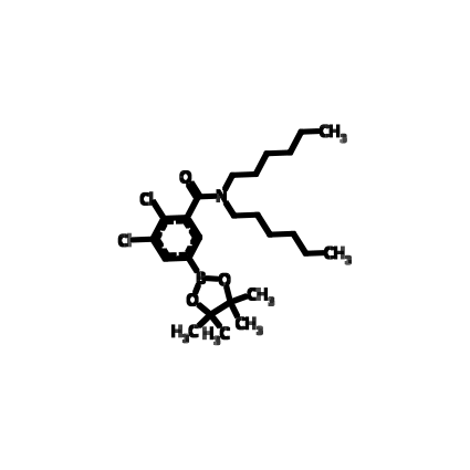 CCCCCCN(CCCCCC)C(=O)c1cc(B2OC(C)(C)C(C)(C)O2)cc(Cl)c1Cl